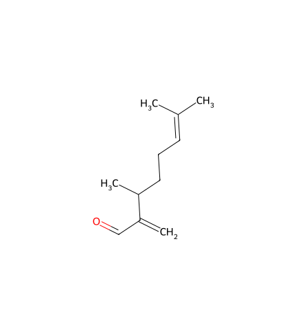 C=C(C=O)C(C)CCC=C(C)C